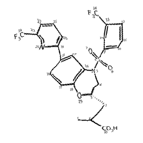 CC(C[C@H]1CN(S(=O)(=O)c2cccc(C(F)(F)F)c2)c2cc(-c3cccc(C(F)(F)F)n3)ccc2O1)C(=O)O